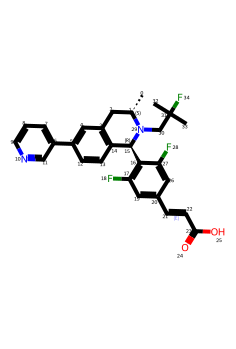 C[C@H]1Cc2cc(-c3cccnc3)ccc2[C@H](c2c(F)cc(/C=C/C(=O)O)cc2F)N1CC(C)(C)F